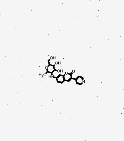 CC1OC(CO)C(O)C(O)C1Nc1ccc2cc(-c3ccncc3)c(=O)oc2c1